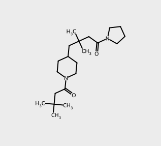 CC(C)(C)CC(=O)N1CCC(CC(C)(C)CC(=O)N2CCCC2)CC1